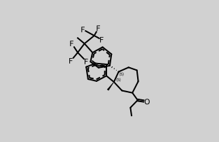 CCC(=O)C1CCC[C@@H](c2ccc(C(C)(C(F)(F)F)C(F)(F)F)cc2)[C@@](C)(c2ccccc2)C1